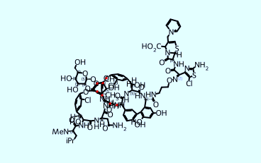 CN[C@H](CC(C)C)C(=O)NC1C(=O)N[C@@H](CC(N)=O)C(=O)N[C@H]2C(=O)N[C@H]3C(=O)N[C@H](C(=O)N[C@H](C(=O)NCCCO/N=C(\C(=O)N[C@@H]4C(=O)N5C(C(=O)O)C(C[n+]6ccccc6)=CS[C@H]45)c4nc(N)sc4Cl)c4cc(O)cc(O)c4-c4cc3ccc4O)[C@H](O)c3ccc(c(Cl)c3)Oc3cc2cc(c3O[C@@H]2O[C@H](CO)[C@@H](O)[C@H](O)[C@H]2O[C@H]2C[C@](C)(N)[C@H](O)[C@H](C)O2)Oc2ccc(cc2Cl)[C@H]1O